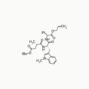 C=CCOC(=O)[C@@H](NC(=O)[C@H](Cc1cn(C)c2ccccc12)NC(=O)[C@@H](C)CC(=O)OC(C)(C)C)C(C)C